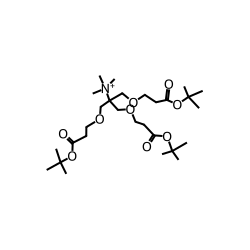 CC(C)(C)OC(=O)CCOCC(COCCC(=O)OC(C)(C)C)(COCCC(=O)OC(C)(C)C)[N+](C)(C)C